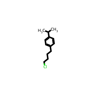 CC(C)c1ccc(CCCCCl)cc1